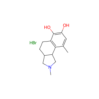 Br.Cc1cc(O)c(O)c2c1C1CN(C)CC1CC2